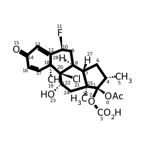 CC(=O)O[C@]1(OC(=O)O)[C@@H](C)C[C@H]2[C@@H]3C[C@H](F)C4=CC(=O)C=C[C@]4(C)[C@@]3(Cl)[C@@H](O)C[C@@]21C